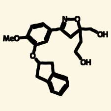 COc1ccc(C2=NOC(CO)(CCO)C2)cc1OC1Cc2ccccc2C1